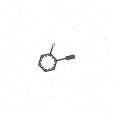 [C]#Cc1ccccc1Cl